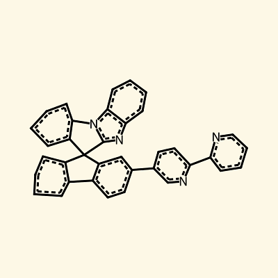 c1ccc(-c2ccc(-c3ccc4c(c3)C3(c5ccccc5-4)c4ccccc4-n4c3nc3ccccc34)cn2)nc1